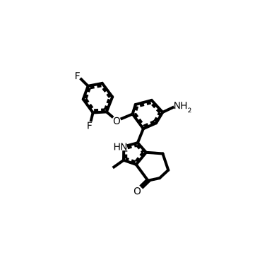 Cc1[nH]c(-c2cc(N)ccc2Oc2ccc(F)cc2F)c2c1C(=O)CCC2